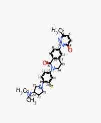 Cc1ccc(=O)n(-c2ccc3c(c2)CCN(c2ccc(N4CC[C@@H](N(C)C)C4)c(F)c2)C3=O)n1